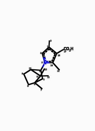 Cc1cn(C2CC3(C)CCC2C3(C)C)c(C)c1C(=O)O